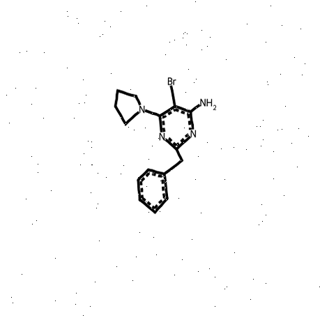 Nc1nc(Cc2ccccc2)nc(N2CCCC2)c1Br